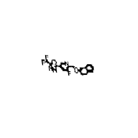 Fc1cc(-c2nnc(C(F)F)o2)cnc1COc1ccc2ccccc2c1